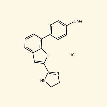 COc1ccc(-c2cccc3cc(C4=NCCN4)oc23)cc1.Cl